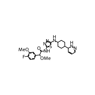 COc1cc(C(OC)C(=O)Nc2nnc(NC3CCC(C4C=CC=NN4)CC3)s2)ccc1F